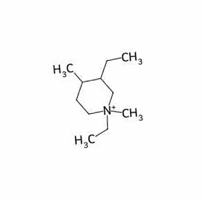 CCC1C[N+](C)(CC)CCC1C